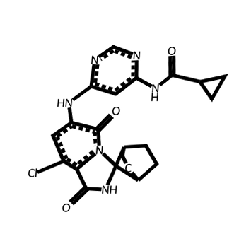 O=C1NC2(C3CCC2CC3)n2c1c(Cl)cc(Nc1cc(NC(=O)C3CC3)ncn1)c2=O